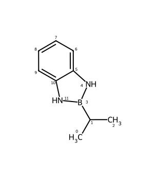 CC(C)B1Nc2ccccc2N1